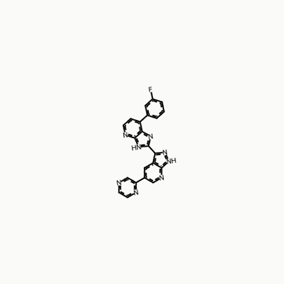 Fc1cccc(-c2ccnc3[nH]c(-c4n[nH]c5ncc(-c6cnccn6)cc45)nc23)c1